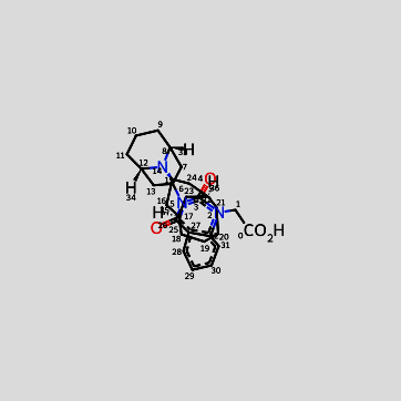 O=C(O)Cn1c(=O)n(C2C[C@H]3CCC[C@@H](C2)N3[C@@H]2C[C@@H]3CCCC[C@@H](C3)C2)c(=O)c2ccccc21